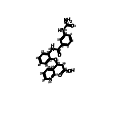 NC(=O)Nc1cccc(C(=O)Nc2ccccc2OC(CC(=O)O)c2cccnc2)c1